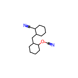 N#COC1CCCCC1CC1CCCCC1C#N